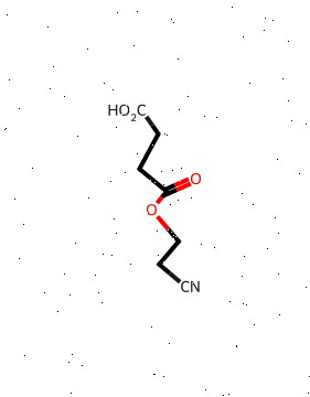 N#CCCOC(=O)CCC(=O)O